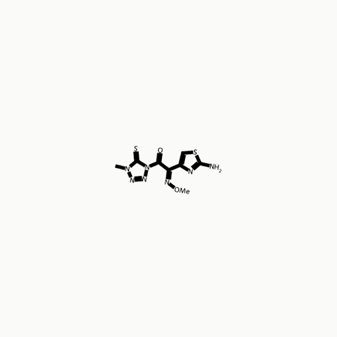 CON=C(C(=O)n1nnn(C)c1=S)c1csc(N)n1